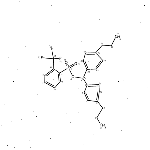 CCCc1ccc([I+](OS(=O)(=O)c2ccccc2C(F)(F)F)c2ccc(CCC)cc2)cc1